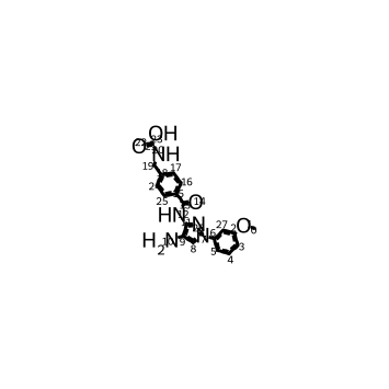 COc1cccc(-n2cc(N)c(NC(=O)c3ccc(CNC(=O)O)cc3)n2)c1